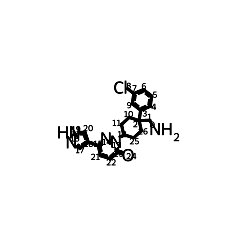 NCC1(c2cccc(Cl)c2)CCC(n2nc(-c3cn[nH]c3)ccc2=O)CC1